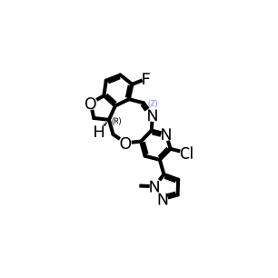 Cn1nccc1-c1cc2c(nc1Cl)/N=C\c1c(F)ccc3c1[C@@H](CO2)CO3